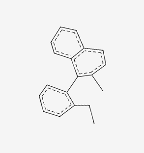 CCc1ccccc1-c1c(C)ccc2ccccc12